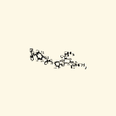 COC(=O)C1CC(OC(C)=O)CC(Oc2ccc(COC(=O)Oc3ccc([N+](=O)[O-])cc3)cc2)O1